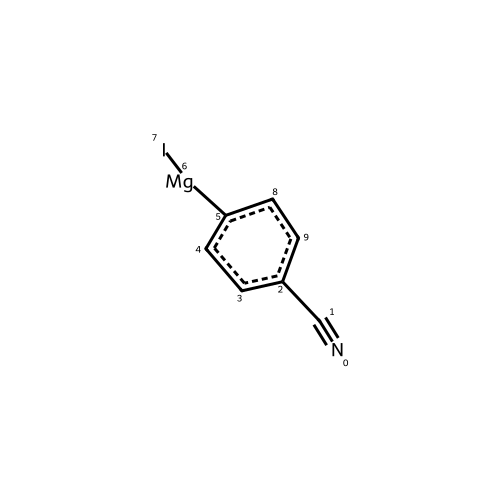 N#Cc1cc[c]([Mg][I])cc1